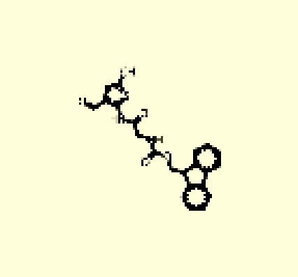 Cc1cc(C=O)c(NC(=O)CNC(=O)OCC2c3ccccc3-c3ccccc32)s1